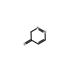 S=C1[C]N=NC=C1